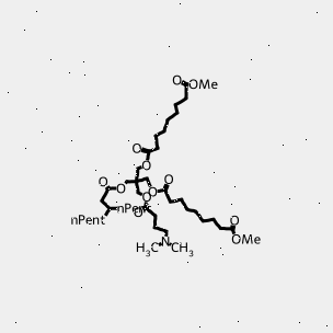 CCCCCC(CCCCC)CC(=O)OCC(COC(=O)CCCCCCCC(=O)OC)(COC(=O)CCCCCCCC(=O)OC)COC(=O)CCCN(C)C